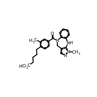 Cc1cc(C(=O)N2Cc3cnn(C)c3Nc3ccccc32)ccc1CCCCC(=O)O